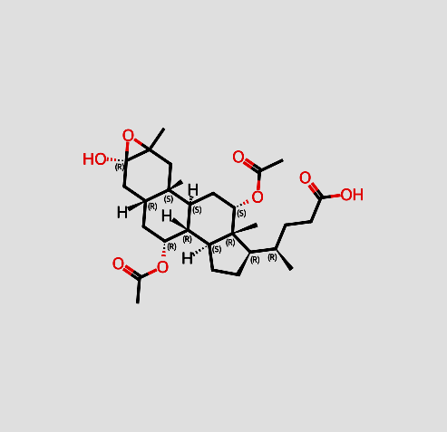 CC(=O)O[C@H]1C[C@H]2[C@@H]([C@H](OC(C)=O)C[C@@H]3C[C@@]4(O)OC4(C)C[C@@]32C)[C@@H]2CC[C@H]([C@H](C)CCC(=O)O)[C@@]12C